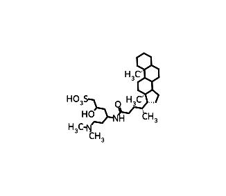 C[C@H](CCC(=O)NC(CCN(C)C)CC(O)CS(=O)(=O)O)[C@H]1CCC2C3CCC4CCCC[C@]4(C)C3CC[C@@]21C